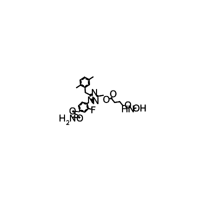 Cc1ccc(C)c(Cc2nc(COC(=O)CCCONO)nn2-c2ccc(S(N)(=O)=O)cc2F)c1